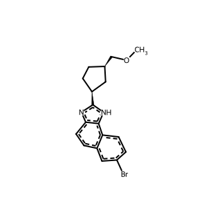 COC[C@@H]1CC[C@H](c2nc3ccc4cc(Br)ccc4c3[nH]2)C1